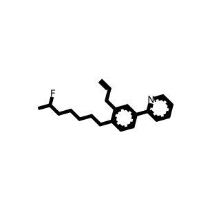 C=CCc1cc(-c2ccccn2)ccc1CCCCCC(C)F